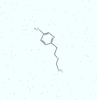 CCOCCc1ccc(C)cn1